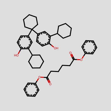 O=C(CCCCC(=O)Oc1ccccc1)Oc1ccccc1.Oc1ccc(C2(c3ccc(O)c(C4CCCCC4)c3)CCCCC2)cc1C1CCCCC1